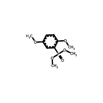 COc1ccc(OC)c(P(=O)(OC)OC)c1